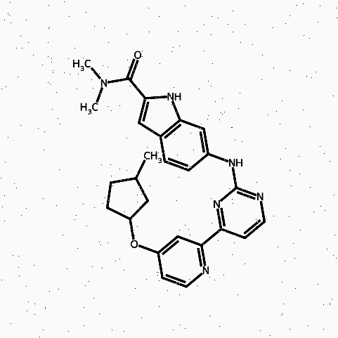 CC1CCC(Oc2ccnc(-c3ccnc(Nc4ccc5cc(C(=O)N(C)C)[nH]c5c4)n3)c2)C1